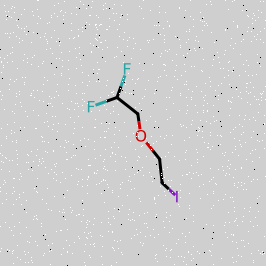 FC(F)COCCI